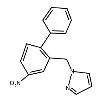 O=[N+]([O-])c1ccc(-c2ccccc2)c(Cn2cccn2)c1